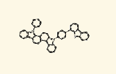 c1ccc(-n2c3ccccc3c3ccc4c(ccc5c4c4ccccc4n5-c4ccc(-c5cccc6c5sc5ccccc56)cc4)c32)cc1